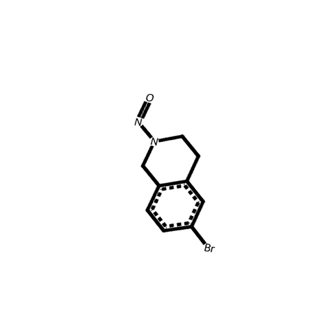 O=NN1CCc2cc(Br)ccc2C1